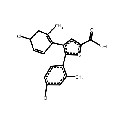 CC1=C(c2cc(C(=O)O)sc2-c2ccc(Cl)cc2C)C=CC(Cl)C1